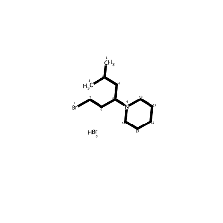 Br.CC(C)CC(CCBr)N1CCCCC1